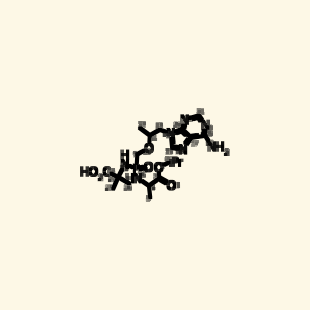 CC(C)OC(=O)C(C)NP(=O)(COC(C)Cn1cnc2c(N)ncnc21)NC(C)(C)C(=O)O